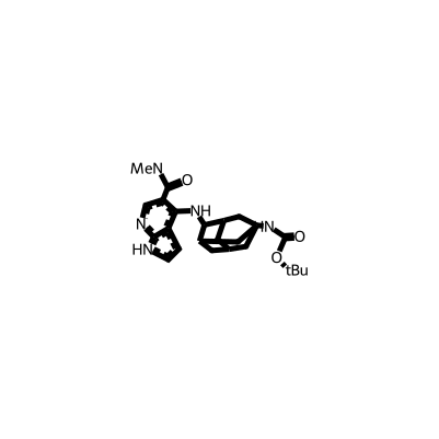 CNC(=O)c1cnc2[nH]ccc2c1NC1C2CC3CC1CC(NC(=O)OC(C)(C)C)(C3)C2